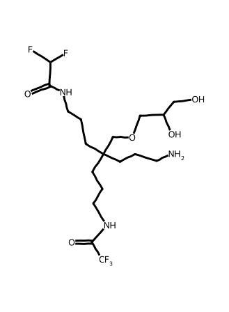 NCCCC(CCCNC(=O)C(F)F)(CCCNC(=O)C(F)(F)F)COCC(O)CO